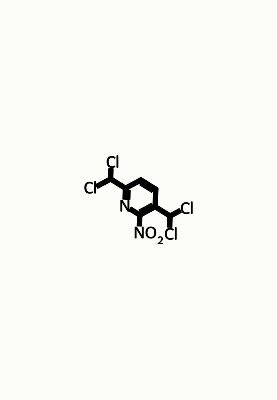 O=[N+]([O-])c1nc(C(Cl)Cl)ccc1C(Cl)Cl